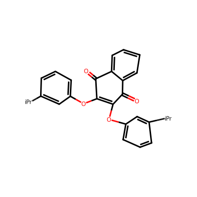 CC(C)c1cccc(OC2=C(Oc3cccc(C(C)C)c3)C(=O)c3ccccc3C2=O)c1